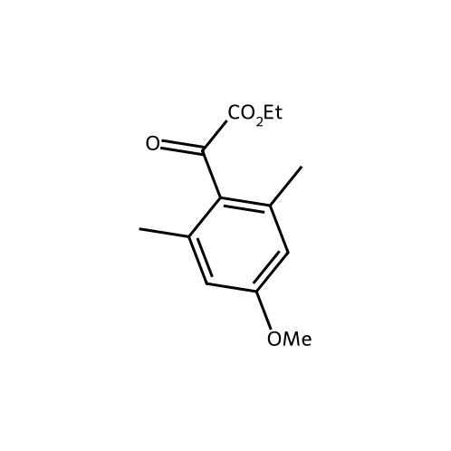 CCOC(=O)C(=O)c1c(C)cc(OC)cc1C